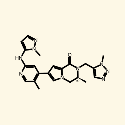 Cc1cnc(Nc2ccnn2C)cc1-c1cc2n(c1)C[C@H](C)N(Cc1cnnn1C)C2=O